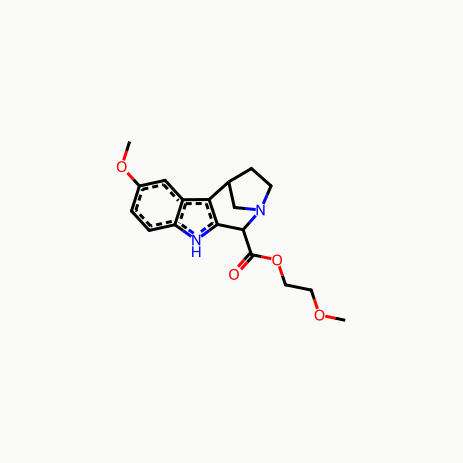 COCCOC(=O)C1c2[nH]c3ccc(OC)cc3c2C2CCN1C2